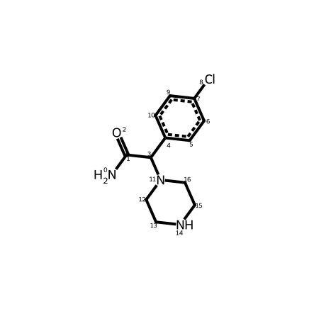 NC(=O)C(c1ccc(Cl)cc1)N1CCNCC1